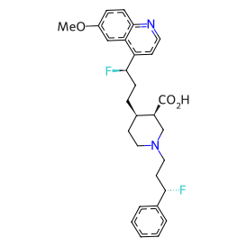 COc1ccc2nccc([C@H](F)CC[C@@H]3CCN(CC[C@H](F)c4ccccc4)C[C@@H]3C(=O)O)c2c1